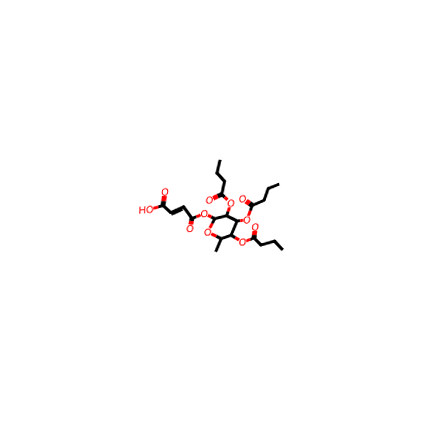 CCCC(=O)OC1C(C)OC(OC(=O)/C=C/C(=O)O)C(OC(=O)CCC)C1OC(=O)CCC